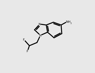 Nc1ccc2c(c1)ncn2CC(F)F